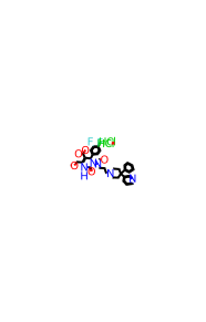 COCC1=C(C(=O)OC)C(c2ccc(F)c(F)c2)N(N(C=O)CCCN2CCC(c3ccccc3)(c3cccnc3)CC2)C(=O)N1.Cl.Cl